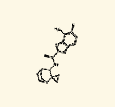 Cc1c(Cl)ccc2cc(C(=O)NC3C4CCN(CC4)C34CC4)sc12